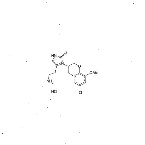 COc1cc(Cl)cc2c1OCC(n1c(CCN)c[nH]c1=S)C2.Cl